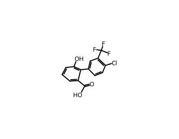 O=C(O)c1cccc(O)c1-c1ccc(Cl)c(C(F)(F)F)c1